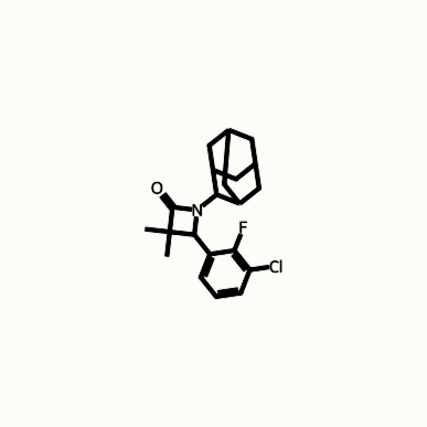 CC1(C)C(=O)N(C2C3CC4CC(C3)CC2C4)C1c1cccc(Cl)c1F